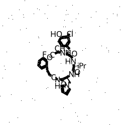 CC(C)[C@H]1NC(=O)[C@@H](Cc2ccc(O)c(Cl)c2)N[C@@H](C)COc2c(F)cccc2CCCNC(=O)[C@H](Cn2cccc2)NC1=O